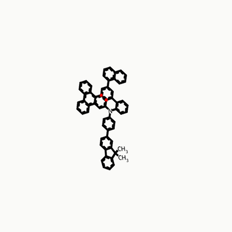 CC1(C)c2ccccc2-c2ccc(-c3ccc(N(c4ccc5c6ccccc6c6ccccc6c5c4)c4ccccc4-c4cccc(-c5cccc6ccccc56)c4)cc3)cc21